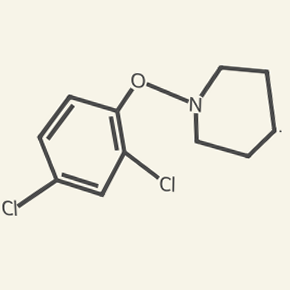 Clc1ccc(ON2CC[CH]CC2)c(Cl)c1